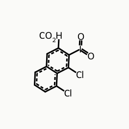 O=C(O)c1cc2cccc(Cl)c2c(Cl)c1I(=O)=O